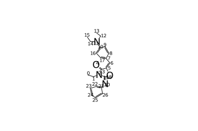 CCN1C(=O)/C(=C\c2ccc(N(CC)CC)cc2)O/C1=N/c1ccccc1